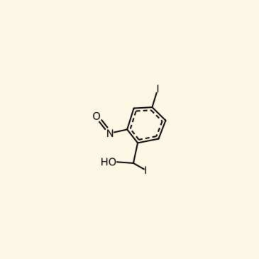 O=Nc1cc(I)ccc1C(O)I